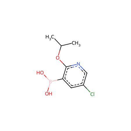 CC(C)Oc1ncc(Cl)cc1B(O)O